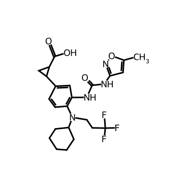 Cc1cc(NC(=O)Nc2cc(C3CC3C(=O)O)ccc2N(CCC(F)(F)F)C2CCCCC2)no1